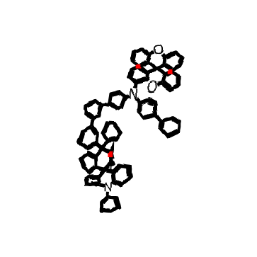 c1ccc(-c2ccc(N(c3ccc(-c4cccc(-c5cccc(C6(c7ccccc7)c7ccccc7C7(c8ccccc8N(c8ccccc8)c8ccccc87)c7ccccc76)c5)c4)cc3)c3cccc4c3Oc3ccccc3C43c4ccccc4Oc4ccccc43)cc2)cc1